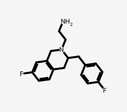 NCCN1Cc2cc(F)ccc2CC1Cc1ccc(F)cc1